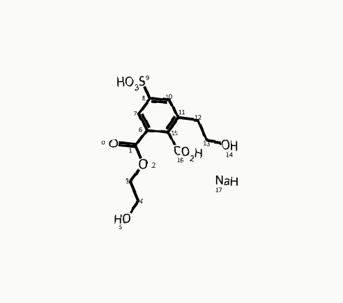 O=C(OCCO)c1cc(S(=O)(=O)O)cc(CCO)c1C(=O)O.[NaH]